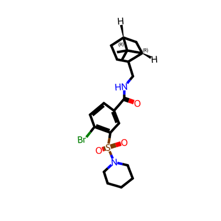 CC1(C)[C@@H]2CCC(CNC(=O)c3ccc(Br)c(S(=O)(=O)N4CCCCC4)c3)[C@H]1C2